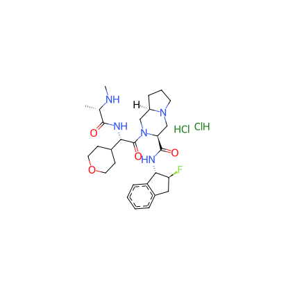 CN[C@@H](C)C(=O)N[C@H](C(=O)N1C[C@H]2CCCN2C[C@H]1C(=O)N[C@H]1c2ccccc2C[C@@H]1F)C1CCOCC1.Cl.Cl